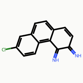 N=C1C=Cc2ccc3cc(Cl)ccc3c2C1=N